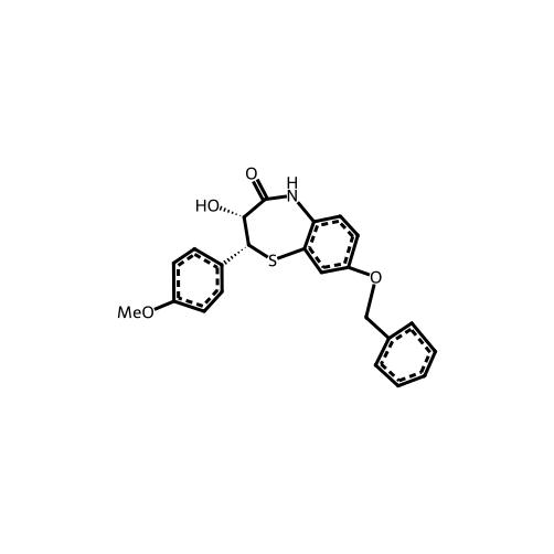 COc1ccc([C@H]2Sc3cc(OCc4ccccc4)ccc3NC(=O)[C@H]2O)cc1